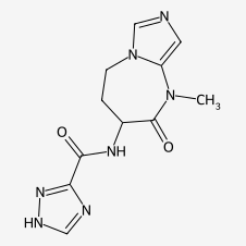 CN1C(=O)C(NC(=O)c2nc[nH]n2)CCn2cncc21